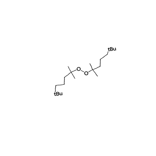 CC(C)(C)CCCC(C)(C)OOC(C)(C)CCCC(C)(C)C